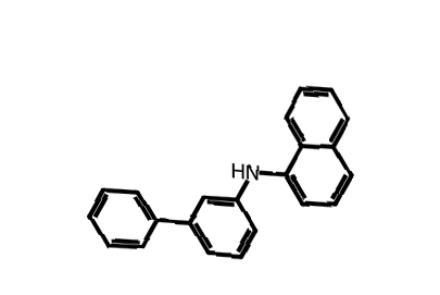 c1ccc(-c2cccc(Nc3cccc4ccccc34)c2)cc1